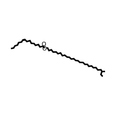 CCCCCC/C=C\CCCCCCCC(=O)OCCCCCCCCCCCCCCCCCCCCCCCCCC(C)CC